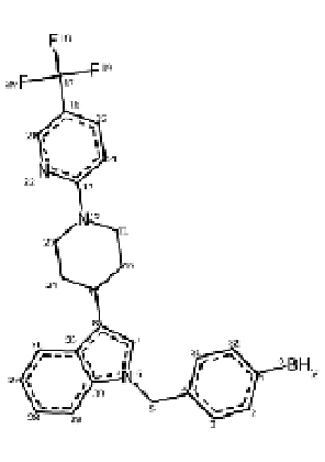 Bc1ccc(Cn2cc(C3CCN(c4ccc(C(F)(F)F)cn4)CC3)c3ccccc32)cc1